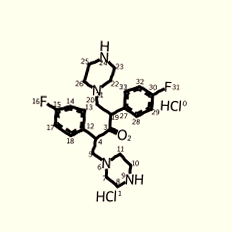 Cl.Cl.O=C(C(CN1CCNCC1)c1ccc(F)cc1)C(CN1CCNCC1)c1ccc(F)cc1